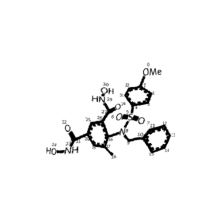 COc1ccc(S(=O)(=O)N(Cc2ccccc2)c2c(C)cc(C(=O)NO)cc2C(=O)NO)cc1